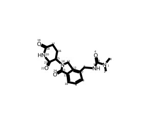 CN(C)C(=O)NCc1cccc2c1CN(C1CCC(=O)NC1=O)C2=O